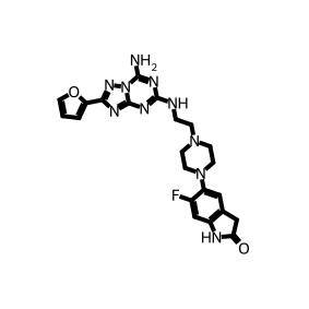 Nc1nc(NCCN2CCN(c3cc4c(cc3F)NC(=O)C4)CC2)nc2nc(-c3ccco3)nn12